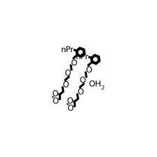 CCCc1ccccc1COCCOCCOCCC1COCO1.CCCc1ccccc1COCCOCCOCCC1COCO1.O